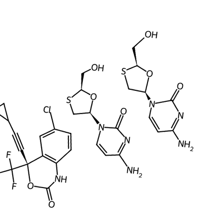 Nc1ccn([C@H]2CS[C@@H](CO)O2)c(=O)n1.Nc1ccn([C@H]2CS[C@@H](CO)O2)c(=O)n1.O=C1Nc2ccc(Cl)cc2[C@@](C#CC2CC2)(C(F)(F)F)O1